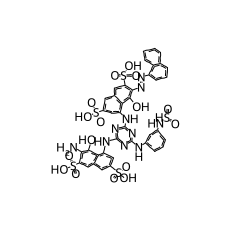 Nc1c(S(=O)(=O)O)cc2cc(S(=O)(=O)O)cc(Nc3nc(Nc4cccc(N[SH](=O)=O)c4)nc(Nc4cc(S(=O)(=O)O)cc5cc(S(=O)(=O)O)c(/N=N/c6cccc7ccccc67)c(O)c45)n3)c2c1O